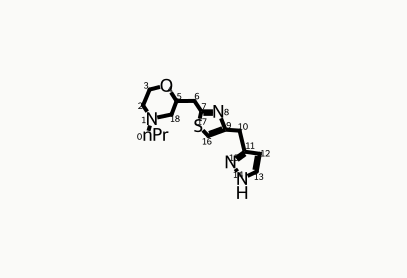 CCCN1CCOC(Cc2nc(Cc3cc[nH]n3)cs2)C1